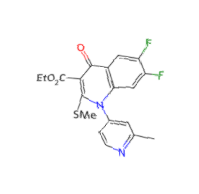 CCOC(=O)c1c(SC)n(-c2ccnc(C)c2)c2cc(F)c(F)cc2c1=O